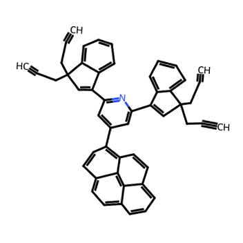 C#CCC1(CC#C)C=C(c2cc(-c3ccc4ccc5cccc6ccc3c4c56)cc(C3=CC(CC#C)(CC#C)c4ccccc43)n2)c2ccccc21